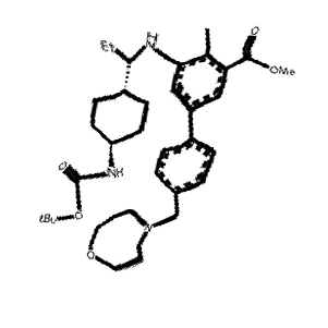 CCC(Nc1cc(-c2ccc(CN3CCOCC3)cc2)cc(C(=O)OC)c1C)[C@H]1CC[C@H](NC(=O)OC(C)(C)C)CC1